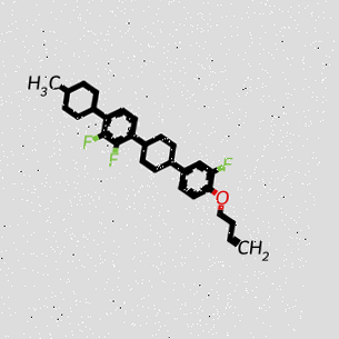 C=CCCOc1ccc(C2CCC(c3ccc(C4CCC(C)CC4)c(F)c3F)CC2)cc1F